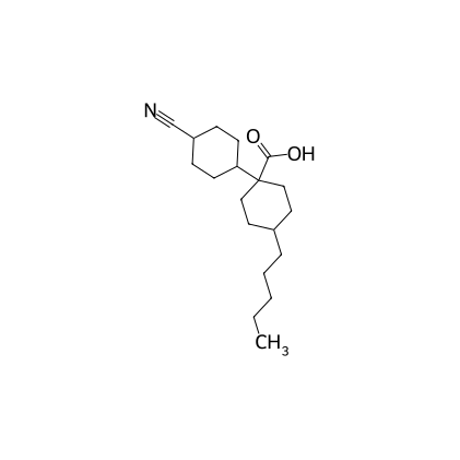 CCCCCC1CCC(C(=O)O)(C2CCC(C#N)CC2)CC1